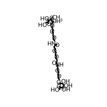 COC1C(O)[C@@H](OCCOCCOCCNC(=O)CCOCCOCCC(=O)NCCOCCOCCO[C@H]2OC(CO)[C@@H](O)C(O)C2O)OC(CO)[C@H]1O